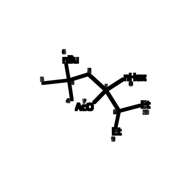 CCCCCCC(CC(C)(C)CCCC)(OC(C)=O)C(CC)CC